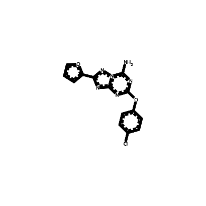 Nc1nc(Oc2ccc(Cl)cc2)nc2nc(-c3ccco3)nn12